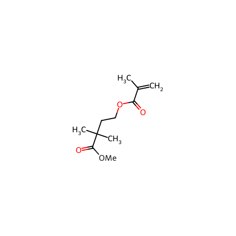 C=C(C)C(=O)OCCC(C)(C)C(=O)OC